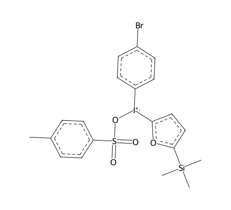 Cc1ccc(S(=O)(=O)O[I+](c2ccc(Br)cc2)c2ccc([Si](C)(C)C)o2)cc1